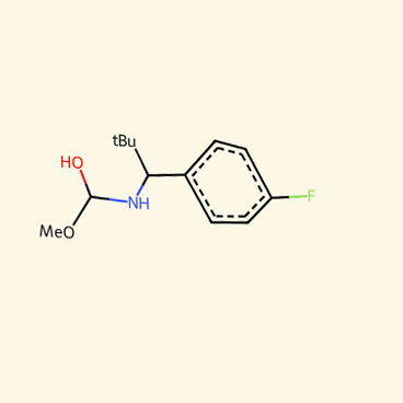 COC(O)NC(c1ccc(F)cc1)C(C)(C)C